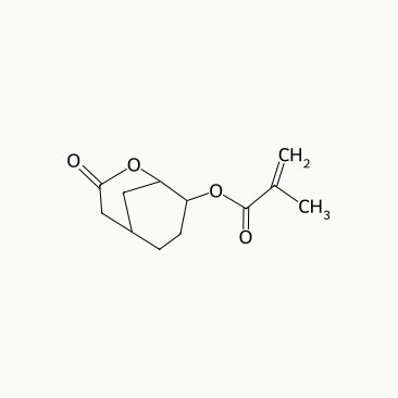 C=C(C)C(=O)OC1CCC2CC(=O)OC1C2